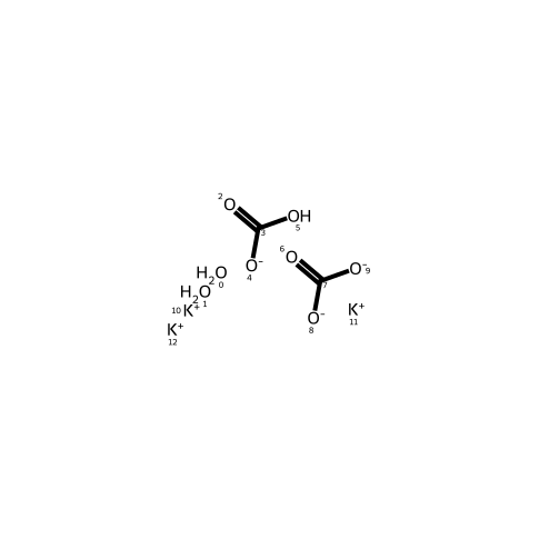 O.O.O=C([O-])O.O=C([O-])[O-].[K+].[K+].[K+]